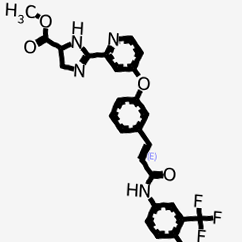 COC(=O)C1CN=C(c2cc(Oc3cccc(/C=C/C(=O)Nc4ccc(F)c(C(F)(F)F)c4)c3)ccn2)N1